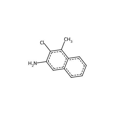 Cc1c(Cl)c(N)cc2ccccc12